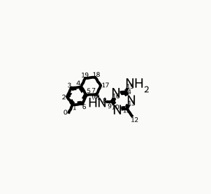 Cc1ccc2c(c1)[C@H](Nc1nc(C)nc(N)n1)CCC2